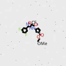 COCCOC(=O)[C@@H]1C=C[C@H](NC(=O)[C@@]2(C(F)(F)F)CC(c3cc(F)cc(F)c3)=NO2)C1